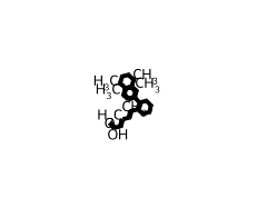 CC(/C=C/C1=C(c2cc3c(cc2C)C(C)(C)CCC3(C)C)CCCC1)=C\C(=O)O